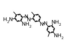 Cc1cc(/N=N/c2ccc(C)c(/N=N/c3cc(C)c(N)cc3N)c2)c(N)cc1N